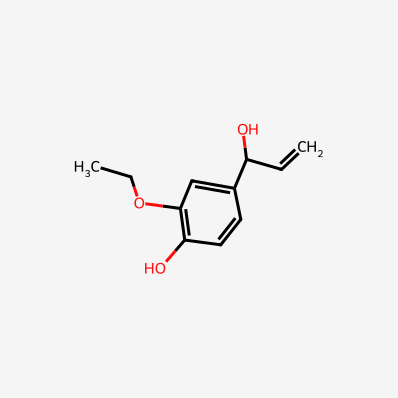 C=CC(O)c1ccc(O)c(OCC)c1